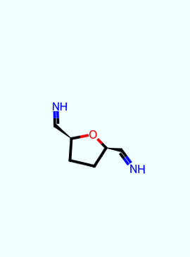 N=C[C@@H]1CC[C@H](C=N)O1